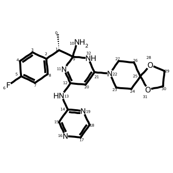 C[C@@H](c1ccc(F)cc1)C1(N)N=C(Nc2cnccn2)C=C(N2CCC3(CC2)OCCO3)N1